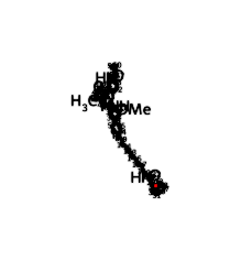 COc1cc(N2CCN(CCCCCCCCCCCCNC(=O)CC34CC5CC(CC(C5)C3)C4)CC2)ccc1Nc1ncc2c(C)cc(=O)n([C@H]3CCC[C@@H](NC(=O)C4CC4)C3)c2n1